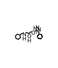 OC(CNCC1CCCCC1)COc1nnnn1-c1ccccc1